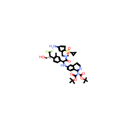 Cc1cc(C(Nc2ccc3c(N(C(=O)OC(C)(C)C)C(=O)OC(C)(C)C)nccc3c2)C(=O)N(C)Cc2cc(N)ccc2S(=O)(=O)C2CC2)ccc1[C@H](CO)C(F)F